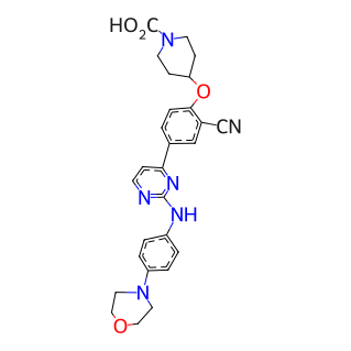 N#Cc1cc(-c2ccnc(Nc3ccc(N4CCOCC4)cc3)n2)ccc1OC1CCN(C(=O)O)CC1